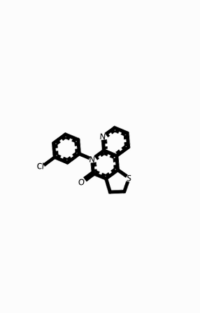 O=c1c2c(c3cccnc3n1-c1cccc(Cl)c1)SCC2